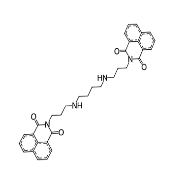 O=C1c2cccc3cccc(c23)C(=O)N1CCCNCCCCNCCCN1C(=O)c2cccc3cccc(c23)C1=O